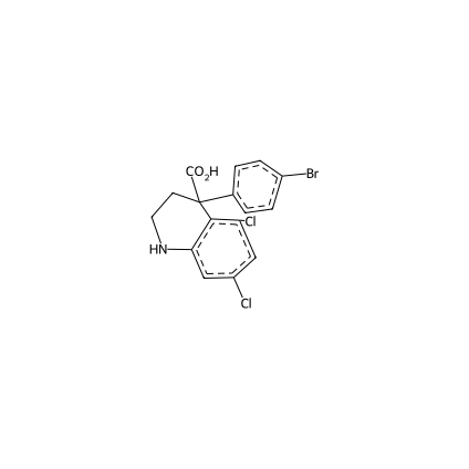 O=C(O)C1(c2ccc(Br)cc2)CCNc2cc(Cl)cc(Cl)c21